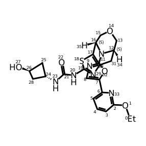 CCOc1cccc(-c2cnc(N3[C@@H]4COC[C@H]3c3sc(NC(=O)N[C@H]5C[C@H](O)C5)nc3C4)o2)n1